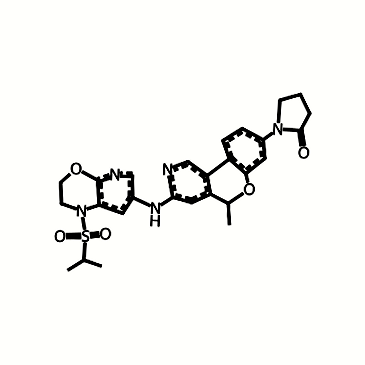 CC1Oc2cc(N3CCCC3=O)ccc2-c2cnc(Nc3cnc4c(c3)N(S(=O)(=O)C(C)C)CCO4)cc21